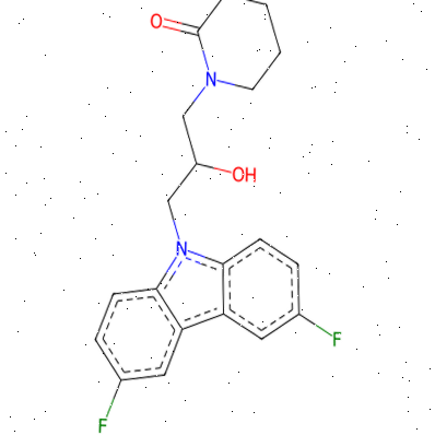 O=C1CCCCN1CC(O)Cn1c2ccc(F)cc2c2cc(F)ccc21